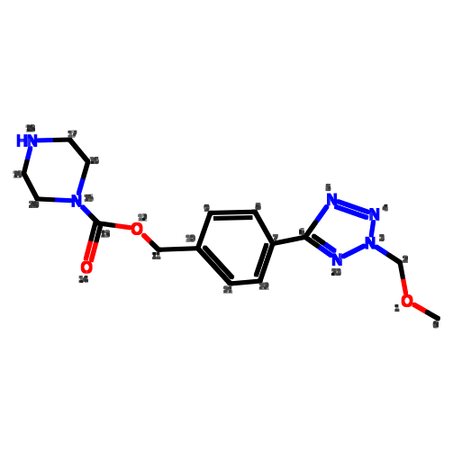 COCn1nnc(-c2ccc(COC(=O)N3CCNCC3)cc2)n1